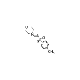 Cc1ccc(S(=O)(=O)/N=C/N2CCOCC2)cc1